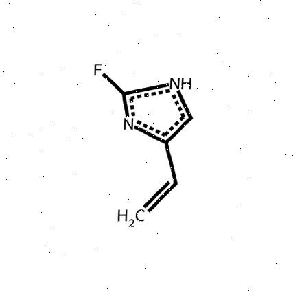 C=Cc1c[nH]c(F)n1